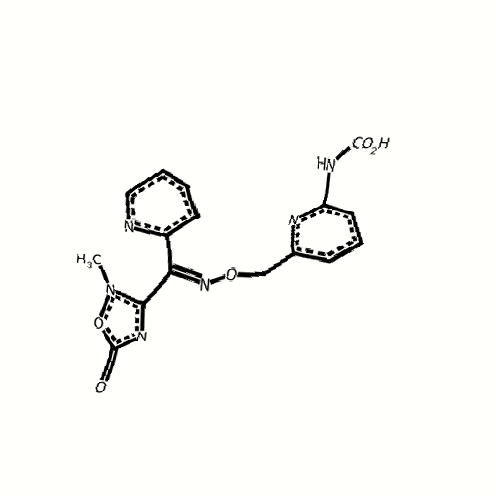 Cn1oc(=O)nc1C(=NOCc1cccc(NC(=O)O)n1)c1ccccn1